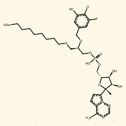 CCCCCCCCCCCCCCCCCCOC[C@H](COP(=O)(O)OC[C@H]1O[C@@](C)(c2ccc3c(N)ncnn23)[C@H](O)[C@@H]1O)OCc1cc(F)c(Cl)c(C#N)c1